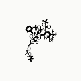 C[C@@H](COCCC[C@@](OCc1ccccc1)(c1nnc(-c2nc(Br)c(C(F)(F)F)cc2N(C(=O)OC(C)(C)C)C(=O)OC(C)(C)C)o1)C(F)(F)F)O[Si](C)(C)C(C)(C)C